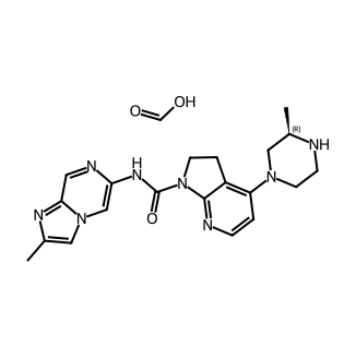 Cc1cn2cc(NC(=O)N3CCc4c(N5CCN[C@H](C)C5)ccnc43)ncc2n1.O=CO